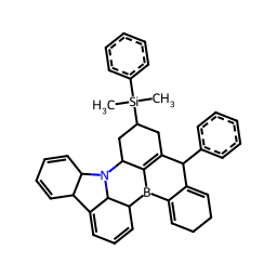 C[Si](C)(c1ccccc1)C1CC2=C3B(C4=CCCC=C4C2c2ccccc2)C2C=CC=C4C5C=CC=CC5N(C3C1)C42